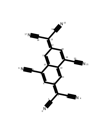 N#CC(C#N)=c1cc(C#N)c2cc(=C(C#N)C#N)cc(C#N)c2c1